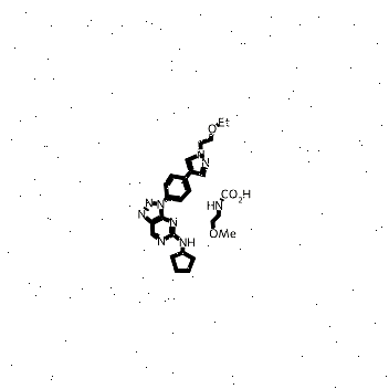 CCOCCn1cc(-c2ccc(-n3nnc4cnc(NC5CCCC5)nc43)cc2)cn1.COCCNC(=O)O